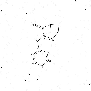 O=C1C2CC(C2)CN1Cc1ccccc1